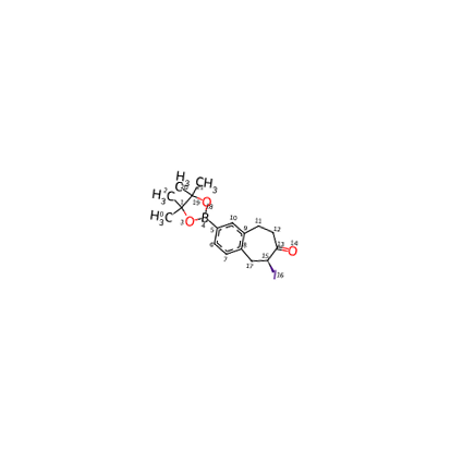 CC1(C)OB(c2ccc3c(c2)CCC(=O)[C@@H](I)C3)OC1(C)C